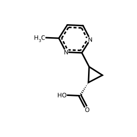 Cc1ccnc(C2C[C@@H]2C(=O)O)n1